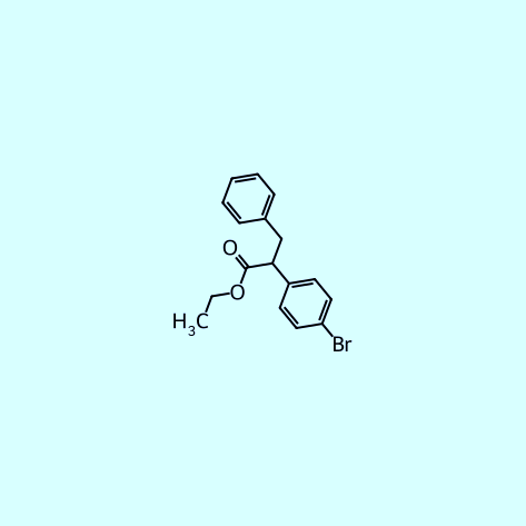 CCOC(=O)C(Cc1ccccc1)c1ccc(Br)cc1